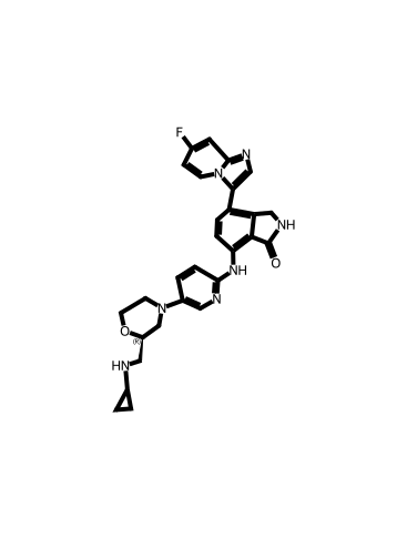 O=C1NCc2c(-c3cnc4cc(F)ccn34)ccc(Nc3ccc(N4CCO[C@H](CNC5CC5)C4)cn3)c21